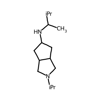 CC(C)C(C)NC1CC2CN(C(C)C)CC2C1